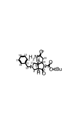 CC(C)(C)OC(=O)N1C(=O)[C@@H]2CN(Cc3ccccc3)C[C@@H]2[C@H]1CC(N)=O